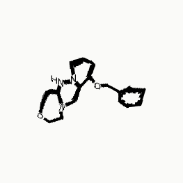 C1=CN2NC3COCCN3C=C2C(OCc2ccccc2)=C1